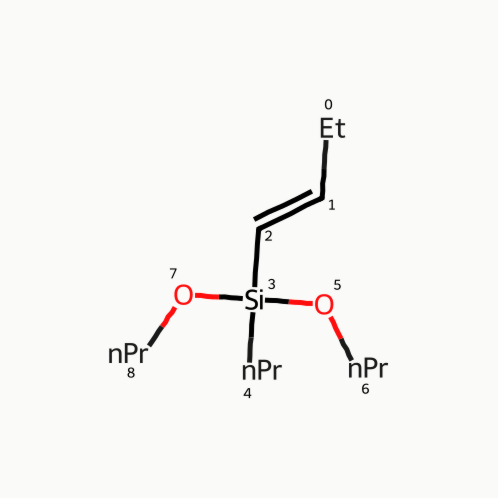 CCC=C[Si](CCC)(OCCC)OCCC